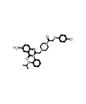 CC(C)Oc1ccccc1-n1c(CN2CCN(C(=O)COc3ccc(Cl)cc3)CC2)nc2ccc(N)cc2c1=O